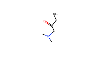 CN(C)CC(=O)CC(C)(C)C